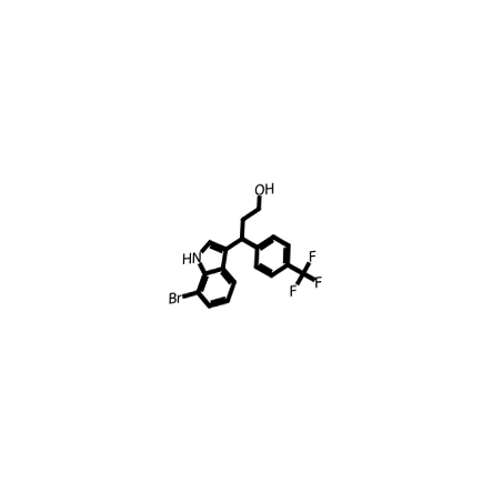 OCCC(c1ccc(C(F)(F)F)cc1)c1c[nH]c2c(Br)cccc12